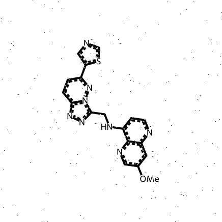 COc1cnc2c(NCc3nnc4ccc(-c5cncs5)nn34)ccnc2c1